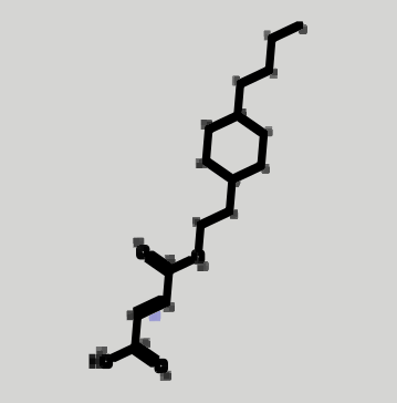 CCCCC1CCC(CCOC(=O)/C=C/C(=O)O)CC1